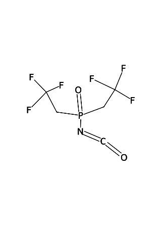 O=C=NP(=O)(CC(F)(F)F)CC(F)(F)F